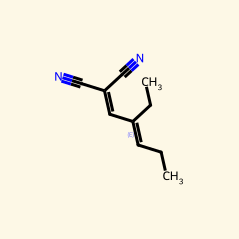 CC/C=C(/C=C(C#N)C#N)CC